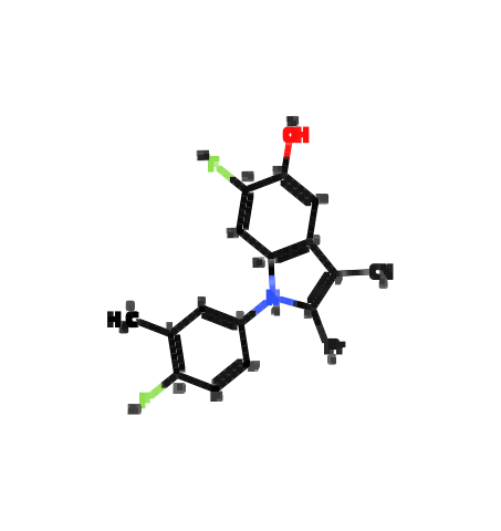 Cc1cc(-n2c(C(C)C)c(C#N)c3cc(O)c(F)cc32)ccc1F